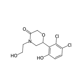 O=C1COC(c2c(O)ccc(Cl)c2Cl)CN1CCO